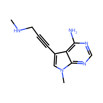 CNCC#Cc1cn(C)c2ncnc(N)c12